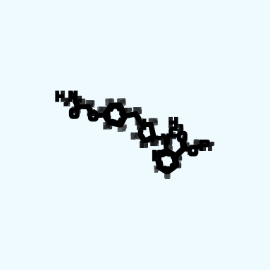 CC(C)OC(=O)c1cccnc1N(C)[C@@H]1CCN(Cc2ccc(OCC(N)=O)cc2)C1